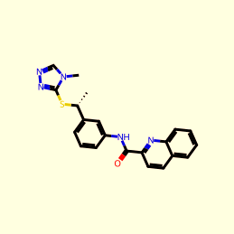 C[C@@H](Sc1nncn1C)c1cccc(NC(=O)c2ccc3ccccc3n2)c1